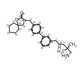 CC(C)(CN)CNCc1cccc(-c2ccc(CN3CC4(CCCCC4)OC3=O)cc2)c1